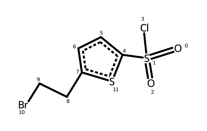 O=S(=O)(Cl)c1ccc(CCBr)s1